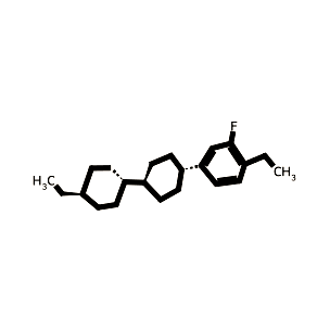 CCc1ccc([C@H]2CC[C@H]([C@H]3CC[C@H](CC)CC3)CC2)cc1F